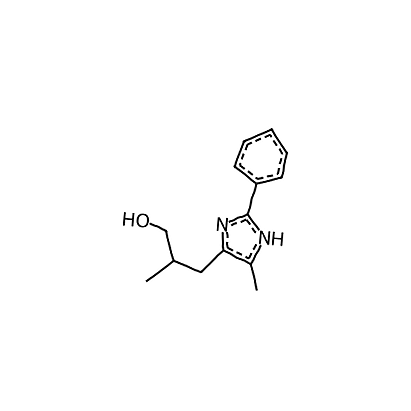 Cc1[nH]c(-c2ccccc2)nc1CC(C)CO